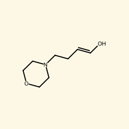 OC=CCCN1CCOCC1